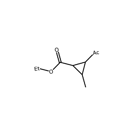 CCOC(=O)C1C(C)C1C(C)=O